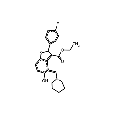 CCOC(=O)C1=c2c(ccc(O)c2=CN2CCCCC2)SC1c1ccc(F)cc1